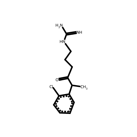 CC(C(=O)CCCNC(=N)N)c1ccccc1Cl